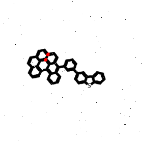 c1cc(-c2ccc3sc4ccccc4c3c2)cc(-c2c3ccccc3c(-c3cccc4ccc5ccccc5c34)c3ccccc23)c1